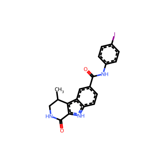 CC1CNC(=O)c2[nH]c3ccc(C(=O)Nc4ccc(I)cc4)cc3c21